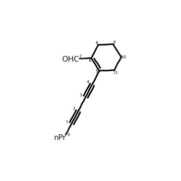 CCCC#CC#CC1=C(C=O)CCCC1